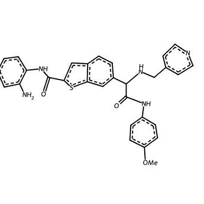 COc1ccc(NC(=O)C(NCc2ccncc2)c2ccc3cc(C(=O)Nc4ccccc4N)sc3c2)cc1